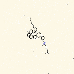 CCC=CCCOc1c(OC(C)=O)c(=O)oc2cc(OC/C=C(\C)CCC=C(C)C)ccc12